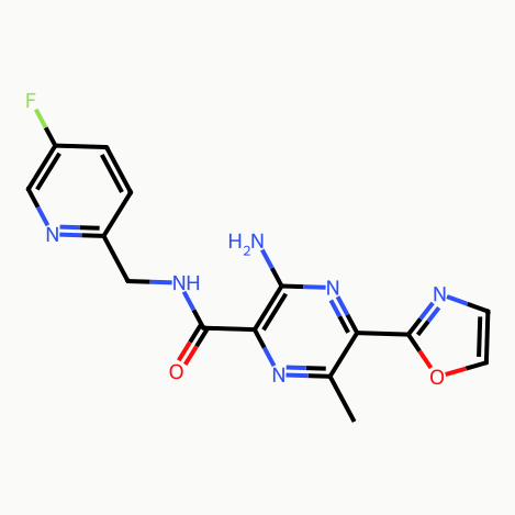 Cc1nc(C(=O)NCc2ccc(F)cn2)c(N)nc1-c1ncco1